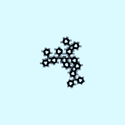 c1ccc(N(c2ccccc2)c2ccc3c(c2)c2ccccc2n3-c2ccc3nc(N(c4ccccc4)c4ccc5c6ccccc6n(-c6ccccc6)c5c4)nc(N(c4ccccc4)c4ccc5c(c4)c4ccccc4n5-c4ccccc4)c3c2)cc1